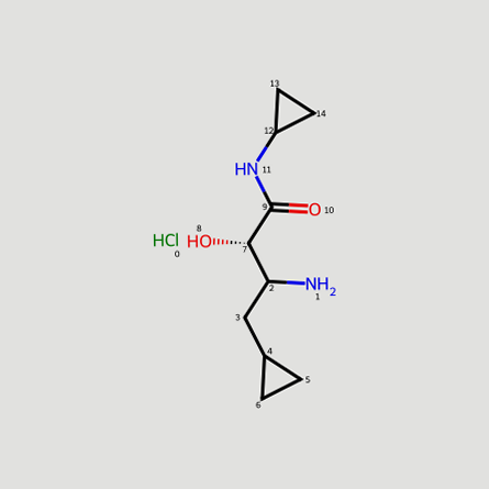 Cl.NC(CC1CC1)[C@H](O)C(=O)NC1CC1